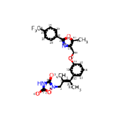 C/C(Cn1oc(=O)[nH]c1=O)=C(/C)c1cccc(OCc2nc(-c3ccc(C(F)(F)F)cc3)oc2C)c1